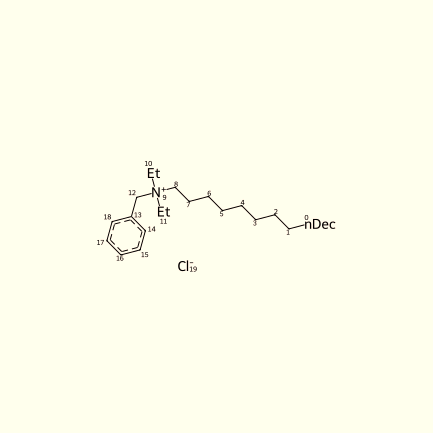 CCCCCCCCCCCCCCCCCC[N+](CC)(CC)Cc1ccccc1.[Cl-]